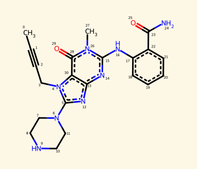 CC#CCn1c(N2CCNCC2)nc2nc(Nc3ccccc3C(N)=O)n(C)c(=O)c21